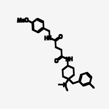 COc1ccc(CNC(=O)CCC(=O)NC2CCC(Cc3cccc(C)c3)(N(C)C)CC2)cc1